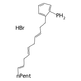 Br.CCCCCC=CCC=CCC=CCCc1ccccc1P